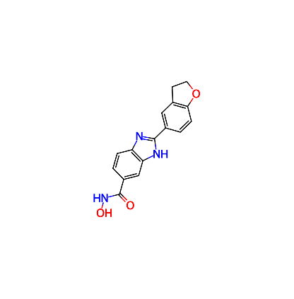 O=C(NO)c1ccc2nc(-c3ccc4c(c3)CCO4)[nH]c2c1